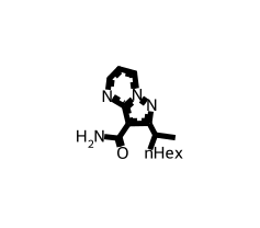 CCCCCCC(C)c1nn2cccnc2c1C(N)=O